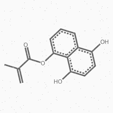 C=C(C)C(=O)Oc1cccc2c(O)ccc(O)c12